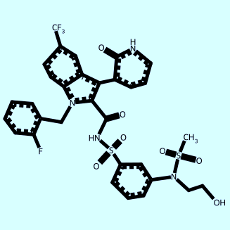 CS(=O)(=O)N(CCO)c1cccc(S(=O)(=O)NC(=O)c2c(-c3ccc[nH]c3=O)c3cc(C(F)(F)F)ccc3n2Cc2ccccc2F)c1